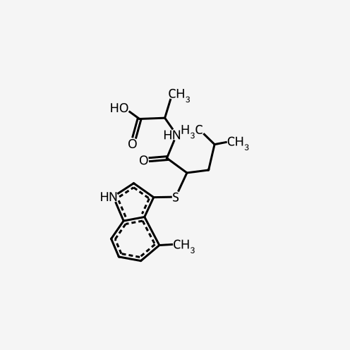 Cc1cccc2[nH]cc(SC(CC(C)C)C(=O)NC(C)C(=O)O)c12